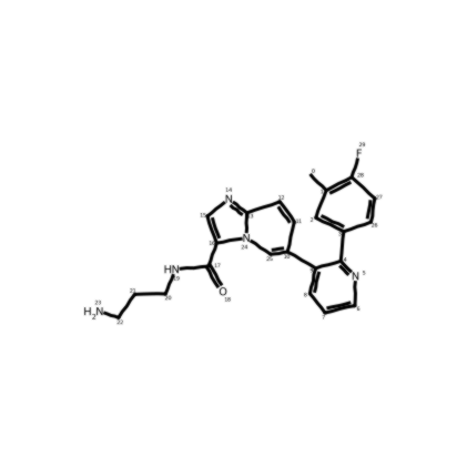 Cc1cc(-c2ncccc2-c2ccc3ncc(C(=O)NCCCN)n3c2)ccc1F